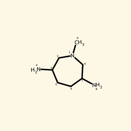 CN1CC(N)CCC(N)C1